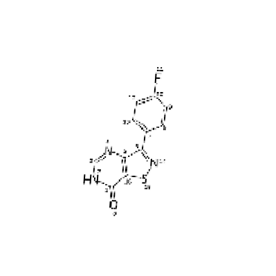 O=c1[nH]cnc2c(-c3ccc(F)cc3)nsc12